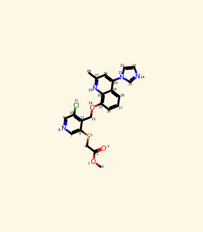 COC(=O)CSc1cncc(Cl)c1COc1cccc2c(-n3ccnc3)cc(C)nc12